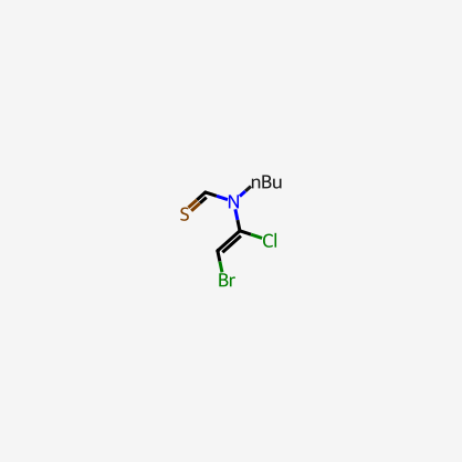 CCCCN(C=S)C(Cl)=CBr